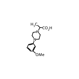 COc1cccc(N2CCN(C(C)C(=O)O)CC2)c1